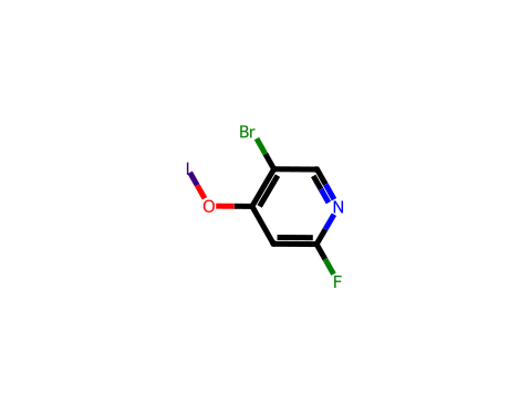 Fc1cc(OI)c(Br)cn1